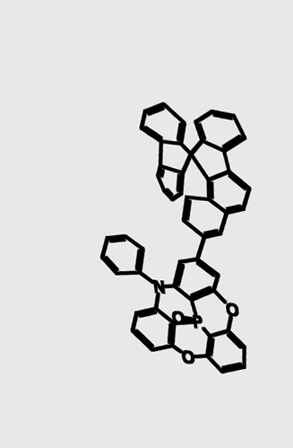 O=P12c3c4cccc3Oc3cc(-c5ccc6c7c(ccc6c5)-c5ccccc5C75c6ccccc6-c6ccccc65)cc(c31)N(c1ccccc1)c1cccc(c12)O4